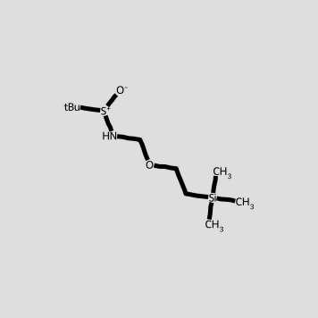 CC(C)(C)[S+]([O-])NCOCC[Si](C)(C)C